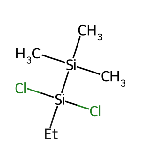 CC[Si](Cl)(Cl)[Si](C)(C)C